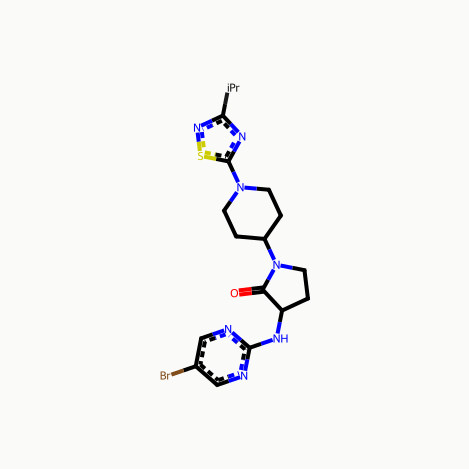 CC(C)c1nsc(N2CCC(N3CCC(Nc4ncc(Br)cn4)C3=O)CC2)n1